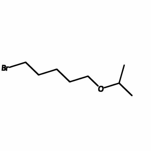 CC(C)OCCCCCBr